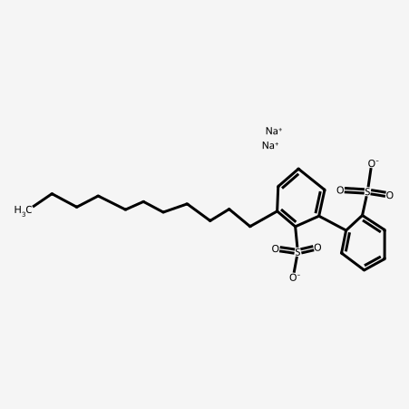 CCCCCCCCCCCc1cccc(-c2ccccc2S(=O)(=O)[O-])c1S(=O)(=O)[O-].[Na+].[Na+]